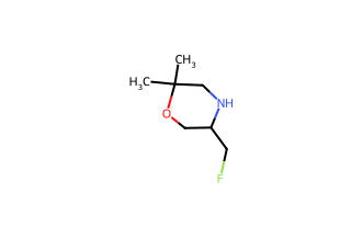 CC1(C)CNC(CF)CO1